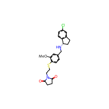 COc1cc(CN[C@H]2CCc3cc(Cl)ccc32)ccc1SCCN1C(=O)CCC1=O